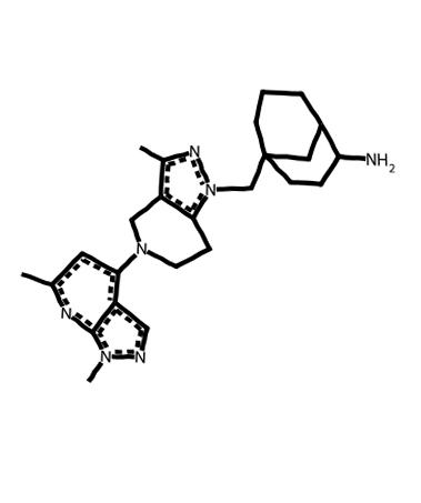 Cc1cc(N2CCc3c(c(C)nn3CC34CCCC(C3)C(N)CC4)C2)c2cnn(C)c2n1